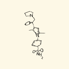 Cc1cc(C(=O)CN2CCCC2)c(C)n1-c1ccc(S(N)(=O)=O)cc1